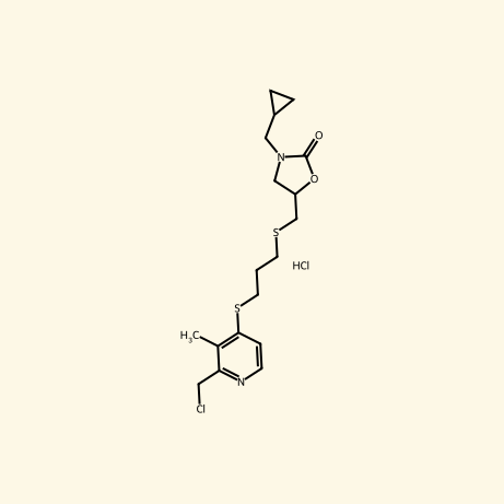 Cc1c(SCCCSCC2CN(CC3CC3)C(=O)O2)ccnc1CCl.Cl